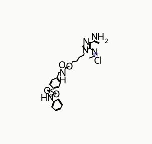 C=C(N)c1ncn(CCCCOC(=O)NCc2ccc(S(=O)(=O)Nc3ccccc3)cc2)c1/N=C(\C)Cl